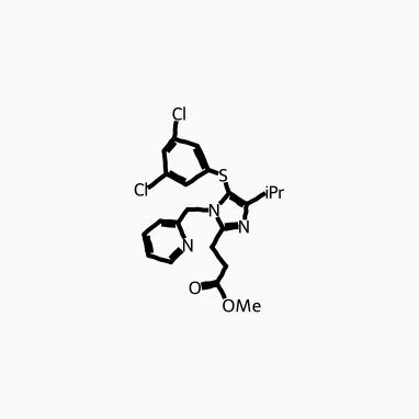 COC(=O)CCc1nc(C(C)C)c(Sc2cc(Cl)cc(Cl)c2)n1Cc1ccccn1